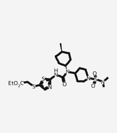 CCOC(=O)CSc1cnc(NC(=O)N(C2CCN(S(=O)(=O)N(C)C)CC2)[C@H]2CC[C@H](C)CC2)s1